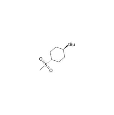 CC(C)(C)[C@H]1CC[C@H](S(C)(=O)=O)CC1